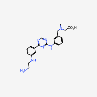 CN(CC(=O)O)Cc1cccc(Nc2ncnc(-c3cccc(NCCN)c3)n2)c1